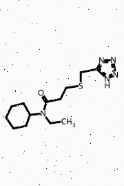 CCN(C(=O)CCSCc1nnn[nH]1)C1CCCCC1